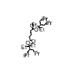 CCC(CC)(OC(=O)CCCC(=O)OC(CC)(CC)C(CC(C)C)CC(C)C)C(CC(C)C)CC(C)C